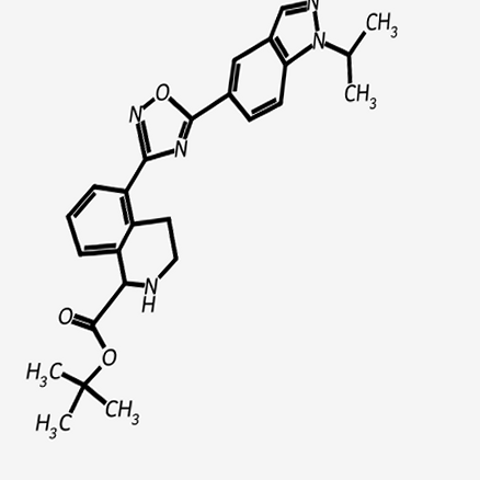 CC(C)n1ncc2cc(-c3nc(-c4cccc5c4CCNC5C(=O)OC(C)(C)C)no3)ccc21